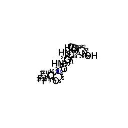 O=C(/C=C1\CCCOc2cc(C(F)(F)F)ccc21)Nc1ccc2c(c1)NC(=O)C(C1(O)CCCN(O)CC1)C2